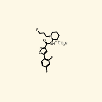 O=C(NC1[C@@H](C(=O)O)CCCN1CCCF)c1cc(-c2ccc(F)cc2F)on1